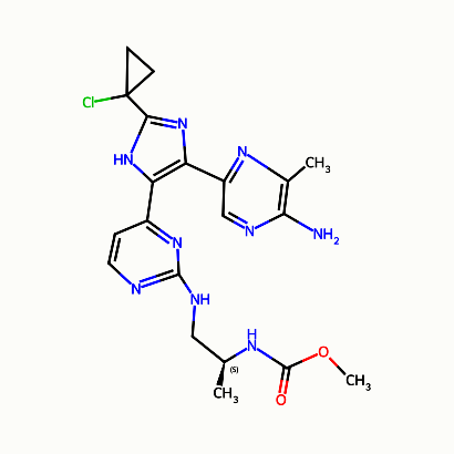 COC(=O)N[C@@H](C)CNc1nccc(-c2[nH]c(C3(Cl)CC3)nc2-c2cnc(N)c(C)n2)n1